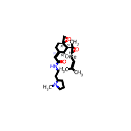 CO[C@@H]1/C(=C\C(=O)NCCC2CCCN2C)CC[C@]2(CO2)[C@H]1C1(C)O[C@@H]1CC=C(C)C